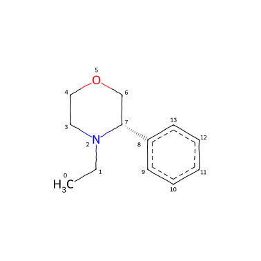 CCN1CCOC[C@@H]1c1ccccc1